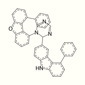 C1=NC=NC(c2ccc3[nH]c4cccc(-c5ccccc5)c4c3c2)N1c1cccc2oc3cccc(-c4ccccc4)c3c12